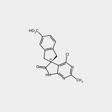 Cc1nc(Cl)c2c(n1)NC(=O)[C@@]21Cc2ccc(C(=O)O)cc2C1